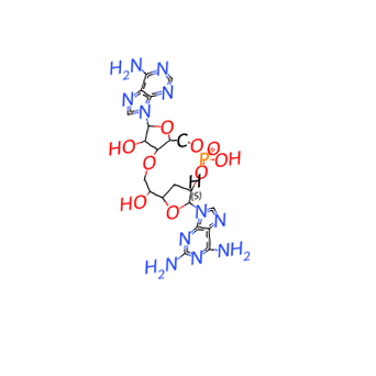 Nc1nc(N)c2ncn(C3OC4C[C@@H]3OP(=O)(O)OCC3OC(n5cnc6c(N)ncnc65)C(O)C3OCC4O)c2n1